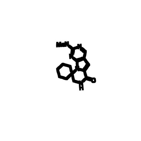 CNc1ncc2cc3n(c2n1)C1(CCCCC1)CNC3=O